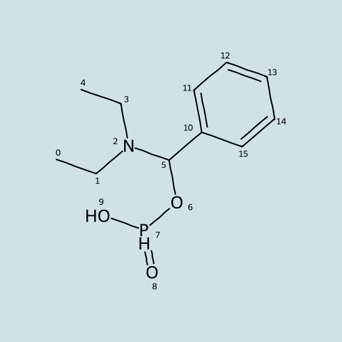 CCN(CC)C(O[PH](=O)O)c1ccccc1